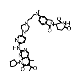 CC(=O)c1c(C)c2cnc(Nc3ccc(N4CCN(CCCN(C)c5ccc6c(c5)CN(C5CCC(=O)NC5=O)C6=O)CC4)cn3)nc2n(C2CCCC2)c1=O